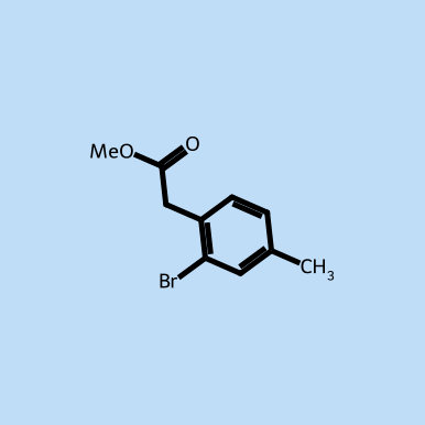 COC(=O)Cc1ccc(C)cc1Br